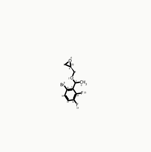 CC(OC[C@H]1CO1)c1c(Br)ccc(F)c1F